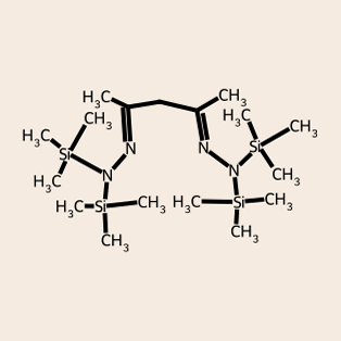 CC(CC(C)=NN([Si](C)(C)C)[Si](C)(C)C)=NN([Si](C)(C)C)[Si](C)(C)C